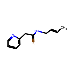 CC=CCNC(=S)Cc1ccccn1